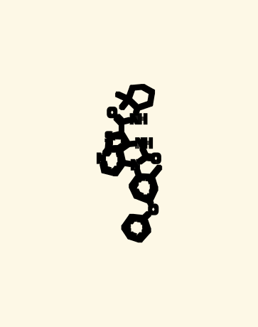 Cc1cc(Oc2ccccc2)ccc1N1C(=O)Nc2c(C(=O)NC3CCCCC3(C)C)sc3nccc1c23